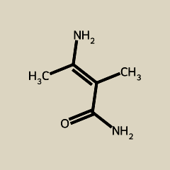 CC(N)=C(C)C(N)=O